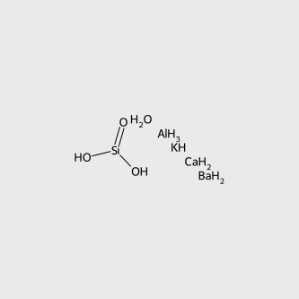 O.O=[Si](O)O.[AlH3].[BaH2].[CaH2].[KH]